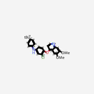 COc1cc2nccc(Oc3ccc(Nc4ccc(C(C)(C)C)cc4)cc3Cl)c2cc1OC